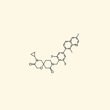 Cc1cnc2c(C)c(-c3cc(F)c(CN4CCC5(CC4=O)CN(C4CC4)C(=O)CO5)c(F)c3)ccc2c1